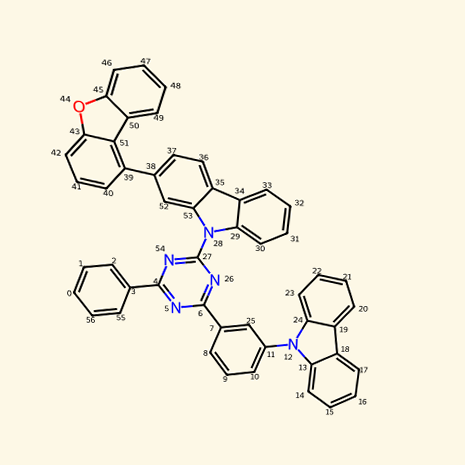 c1ccc(-c2nc(-c3cccc(-n4c5ccccc5c5ccccc54)c3)nc(-n3c4ccccc4c4ccc(-c5cccc6oc7ccccc7c56)cc43)n2)cc1